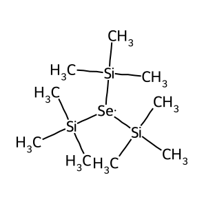 C[Si](C)(C)[Se]([Si](C)(C)C)[Si](C)(C)C